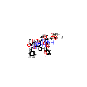 CC(C)C[C@H](NC(=O)[C@H](CCS(C)(=O)=O)NC(=O)OCC1CC=CO1)[C@@H](O)C[C@@H](C)C(=O)N[C@H](C(=O)NCc1ccccc1)C(C)C